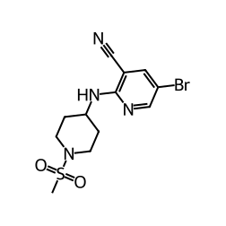 CS(=O)(=O)N1CCC(Nc2ncc(Br)cc2C#N)CC1